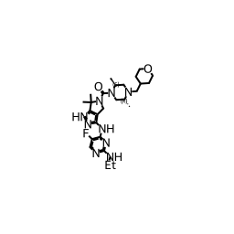 CCNc1ncc(F)c(Nc2n[nH]c3c2CN(C(=O)N2C[C@@H](C)N(CC4CCOCC4)C[C@@H]2C)C3(C)C)n1